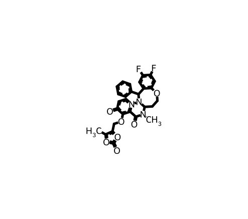 Cc1oc(=O)oc1COc1c2n(ccc1=O)N1C(c3ccccc3)c3cc(F)c(F)cc3OCCC1N(C)C2=O